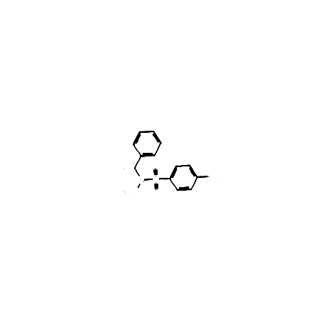 Cc1ccc(S(=O)(=O)N(C)[C@H](C(=O)O)c2ccccc2)cc1